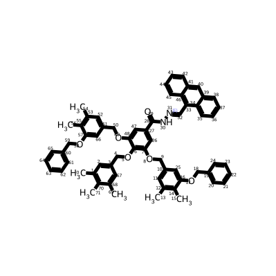 Cc1cc(COc2c(OCc3cc(C)c(C)c(OCc4ccccc4)c3)cc(C(=O)N/N=C/c3c4ccccc4cc4ccccc34)cc2OCc2cc(C)c(C)c(OCc3ccccc3)c2)cc(C)c1C